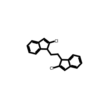 ClC1=Cc2ccccc2C1CCC1C(Cl)=Cc2ccccc21